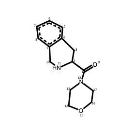 O=C(C1Cc2ccccc2CN1)N1CCOCC1